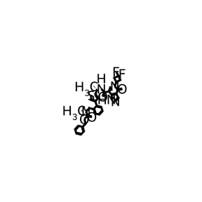 C[C@H](NC(=O)c1cn(C2CC(F)(F)C2)c(=O)c2cn[nH]c12)c1cc(-c2ccccc2CN(C)C(=O)OCc2ccccc2)cs1